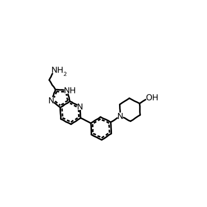 NCc1nc2ccc(-c3cccc(N4CCC(O)CC4)c3)nc2[nH]1